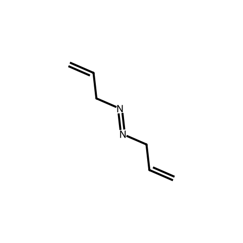 C=CC/N=N/CC=C